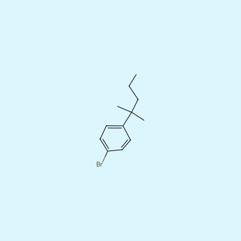 CCCC(C)(C)c1ccc(Br)cc1